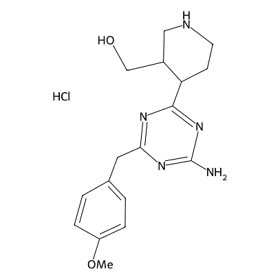 COc1ccc(Cc2nc(N)nc(C3CCNCC3CO)n2)cc1.Cl